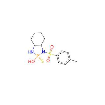 Cc1ccc(S(=O)(=O)N2C3CCCCC3NP2(O)=S)cc1